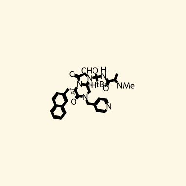 CNC(C)C(=O)NC(C=O)(N1CC(=O)N2[C@@H](Cc3ccc4ccccc4c3)C(=O)N(Cc3ccncc3)C[C@@H]21)C(C)(C)C